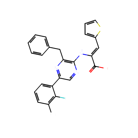 Cc1cccc(-c2cnc(N/C(=C\c3cccs3)C(=O)O)c(Cc3ccccc3)n2)c1F